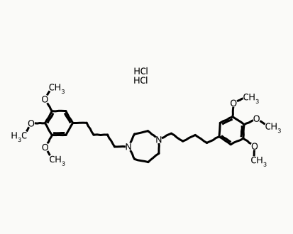 COc1cc(CCCCN2CCCN(CCCCc3cc(OC)c(OC)c(OC)c3)CC2)cc(OC)c1OC.Cl.Cl